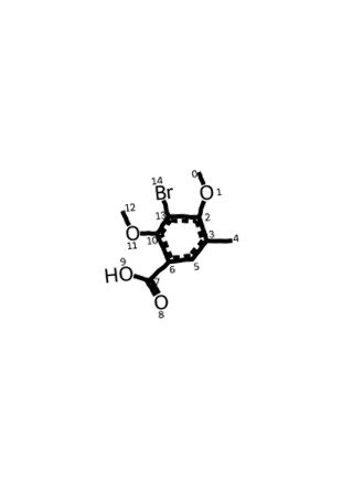 COc1c(C)cc(C(=O)O)c(OC)c1Br